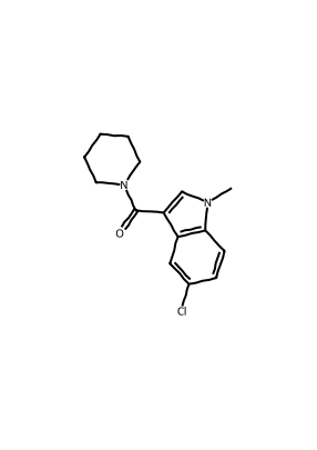 Cn1cc(C(=O)N2CCCCC2)c2cc(Cl)ccc21